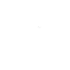 Cc1ccc(N(C)/C=C(\C=C(/C=O)C(=O)O)CC2CCOCC2)cc1